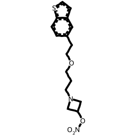 O=[N+]([O-])OC1CN(CCCOCCc2ccc3sccc3c2)C1